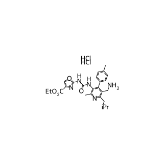 CCOC(=O)c1coc(NC(=O)Nc2c(C)nc(CC(C)C)c(CN)c2-c2ccc(C)cc2)n1.Cl.Cl